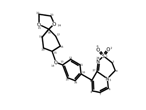 O=S1(=O)CCN2C=CC=C(c3ccc(OC4CCC5(CC4)OCCO5)cc3)C2=N1